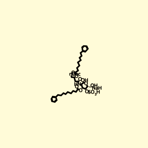 CCCCCCCCCCCC(CC(=O)N[C@@H]1[C@@H](OC(=O)CCCCCCCCc2ccccc2)[C@@H](OS(=O)(=O)O)[C@@H](CO)O[C@H]1O)OC(=O)CCCCCCCCc1ccccc1.[NaH]